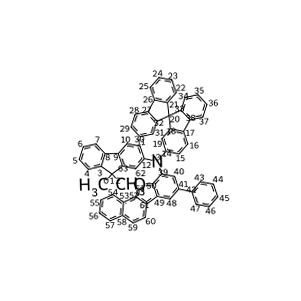 CC1(C)c2ccccc2-c2ccc(N(c3ccc4c(c3)C3(c5ccccc5-c5ccccc53)c3ccccc3-4)c3cc(-c4ccccc4)cc4c3oc3c5ccccc5ccc43)cc21